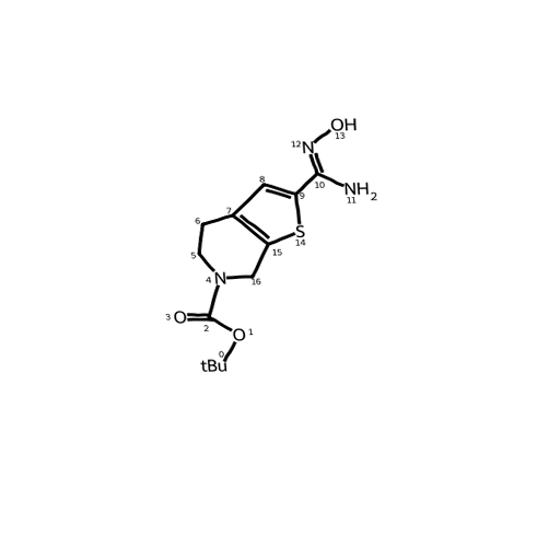 CC(C)(C)OC(=O)N1CCc2cc(C(N)=NO)sc2C1